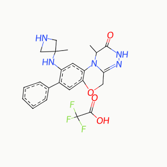 CC1C(=O)NN=C2COc3cc(-c4ccccc4)c(NC4(C)CNC4)cc3N21.O=C(O)C(F)(F)F